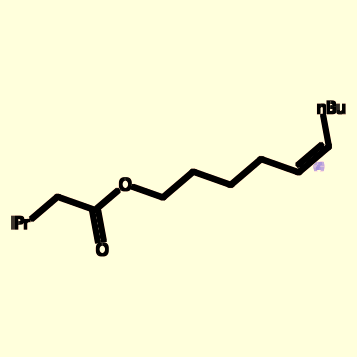 CCCC/C=C\CCCCOC(=O)CC(C)C